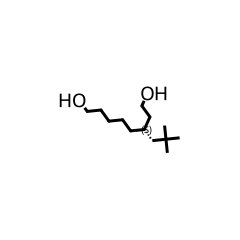 CC(C)(C)C[C@@H](CCO)CCCCCO